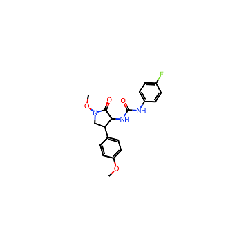 COc1ccc(C2CN(OC)C(=O)C2NC(=O)Nc2ccc(F)cc2)cc1